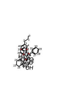 CCCc1ccc(CN(C)C(=O)N2[C@H]3CCC[C@@H]2[C@@H](C(=O)O)N(C(=O)N(c2ccccc2)c2ccccc2)C3)cc1